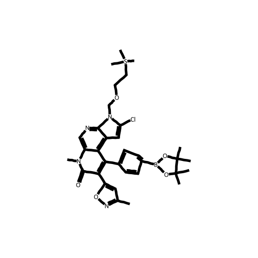 Cc1cc(-c2c(-c3ccc(B4OC(C)(C)C(C)(C)O4)cc3)c3c4cc(Cl)n(COCCS(C)(C)C)c4ncc3n(C)c2=O)on1